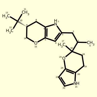 CC(Cc1cc2c([nH]1)C[C@@H](C(C)(C)C)CO2)C1(C)CCc2[nH]ccc2O1